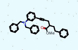 COC(=O)C(CC#Cc1cccc(N(Cc2ccccc2)Cc2ccccc2)c1)CCc1ccccc1